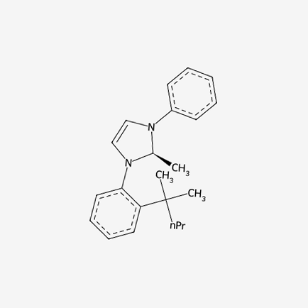 CCCC(C)(C)c1ccccc1N1C=CN(c2ccccc2)[C@H]1C